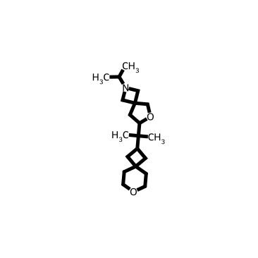 CC(C)N1CC2(COC(C(C)(C)C3CC4(CCOCC4)C3)C2)C1